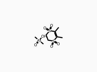 CC1=C(C)S(=O)(=O)CCS1(=O)=O.C[As](C)(=O)O